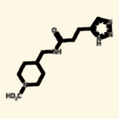 O=C(CCc1cnn[nH]1)NCC1CCN(C(=O)O)CC1